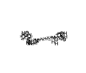 O=c1ccc2c([C@@H](O)CNCCCCCCCCCN3CCC(Cn4cnc(Cc5cccc(O)c5C5CCCCC5)n4)CC3)ccc(O)c2[nH]1